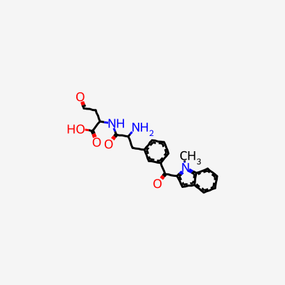 Cn1c(C(=O)c2cccc(CC(N)C(=O)NC(CC=O)C(=O)O)c2)cc2ccccc21